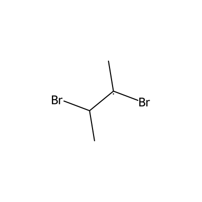 C[C](Br)C(C)Br